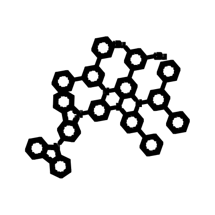 CC(C)(C)c1cc(-c2cc3c4c(c2)N(c2cc(-c5ccccc5)cc(-c5ccccc5)c2)c2cc(-n5c6ccccc6c6cc(-n7c8ccccc8c8ccccc87)ccc65)ccc2B4c2ccc(-c4ccccc4)cc2N3c2cc(-c3ccccc3)cc(-c3ccccc3)c2)cc(C(C)(C)C)c1